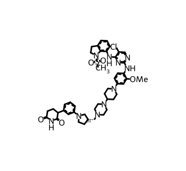 COc1cc(N2CCC(N3CCN(C[C@@H]4CCN(c5cccc(C6CCC(=O)NC6=O)c5)C4)CC3)CC2)ccc1Nc1ncc(Cl)c(Nc2cccc3c2N(S(C)(=O)=O)CC3)n1